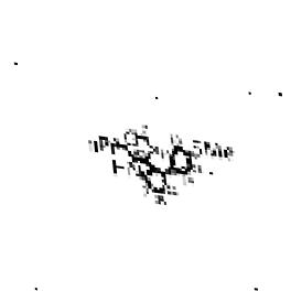 CCCC1OCCc2c1[nH]c1cccc(-c3ccc(SC)cc3)c21